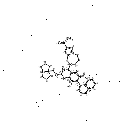 NC(=O)c1cc2n(n1)CCCN(c1nc(OCC34CCCN3CCC4)nc3c(F)c(-c4cccc5cccc(F)c45)ncc13)C2